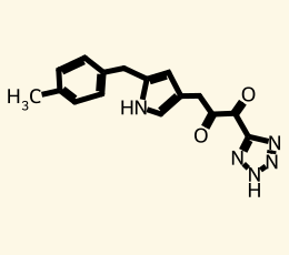 Cc1ccc(Cc2cc(CC(=O)C(=O)c3nn[nH]n3)c[nH]2)cc1